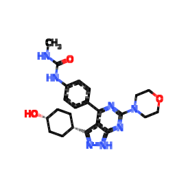 CNC(=O)Nc1ccc(-c2nc(N3CCOCC3)nc3[nH]nc([C@H]4CC[C@@H](O)CC4)c23)cc1